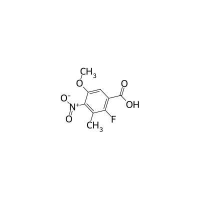 COc1cc(C(=O)O)c(F)c(C)c1[N+](=O)[O-]